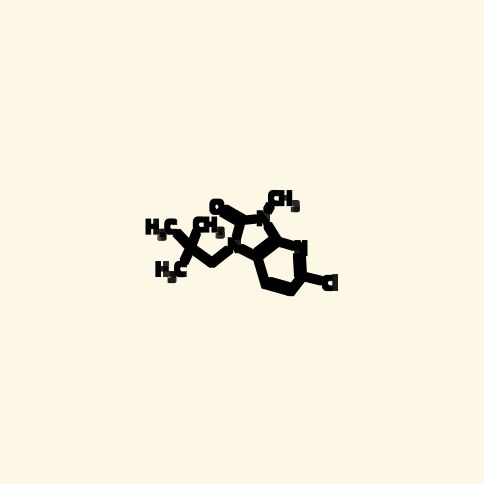 Cn1c(=O)n(CC(C)(C)C)c2ccc(Cl)nc21